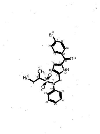 CC(CO)S(=O)(=O)N(Cc1ccc(C(=O)c2ccc(Br)cc2)[nH]1)c1ccccc1